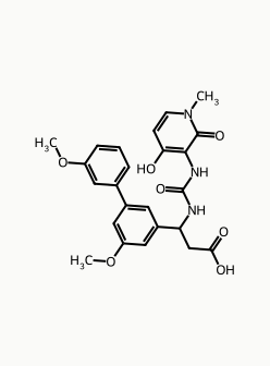 COc1cccc(-c2cc(OC)cc(C(CC(=O)O)NC(=O)Nc3c(O)ccn(C)c3=O)c2)c1